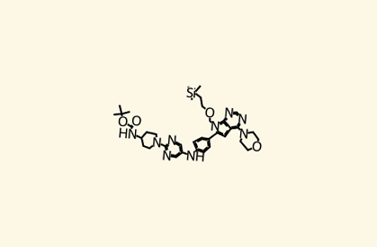 CC(C)(C)OC(=O)NC1CCN(c2ncc(Nc3ccc(-c4cc5c(N6CCOCC6)ncnc5n4COCC[Si](C)(C)C)cc3)cn2)CC1